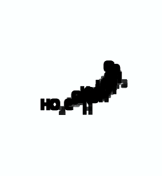 C[C@]12CC[C@H](OC(=O)NCCC(O)CCC(=O)O)C[C@H]1CC[C@@H]1[C@@H]2CC[C@]2(C)[C@@H](C3=CC(=O)OC3)CC[C@@H]12